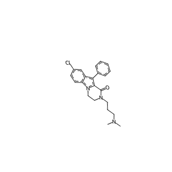 CN(C)CCCN1CCn2c(c(-c3ccccc3)c3cc(Cl)ccc32)C1=O